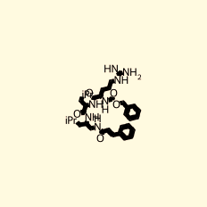 CC(C)CC(CNC(=O)/C=C/c1ccccc1)NC(=O)C(CC(C)C)NC(=O)C(CCCNC(=N)N)NC(=O)OCc1ccccc1